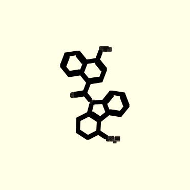 COc1ccc(C(=O)n2c3c(c4ccccc42)C(C(=O)O)CCC3)c2ccccc12